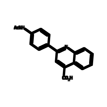 CC(=O)Nc1ccc(-c2cc(C(=O)O)c3ccccc3n2)cc1